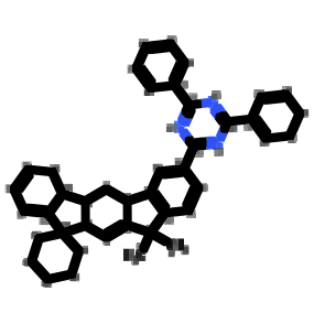 CC1(C)C2=CC3C(CC2c2cc(-c4nc(C5=CCCC=C5)nc(-c5ccccc5)n4)ccc21)C1CC=CC=C1C31CCCCC1